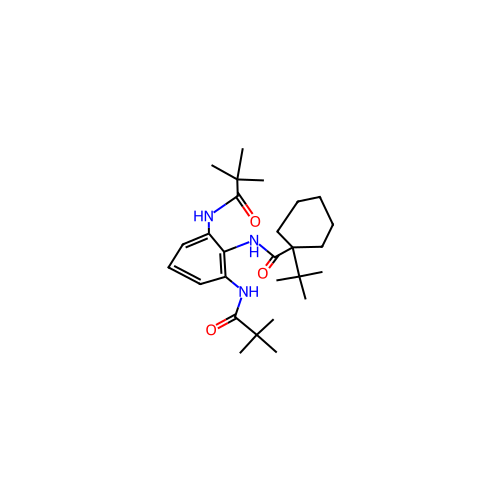 CC(C)(C)C(=O)Nc1cccc(NC(=O)C(C)(C)C)c1NC(=O)C1(C(C)(C)C)CCCCC1